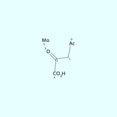 CC(=O)CC(=O)C(=O)O.[Mo]